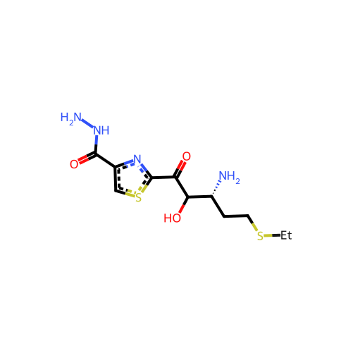 CCSCC[C@@H](N)C(O)C(=O)c1nc(C(=O)NN)cs1